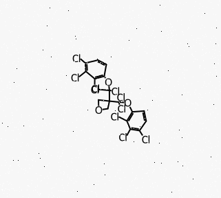 Clc1ccc(OC(Cl)(Cl)C2(C(Cl)(Cl)Oc3ccc(Cl)c(Cl)c3Cl)COC2)c(Cl)c1Cl